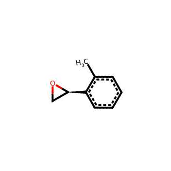 Cc1ccccc1[C@H]1CO1